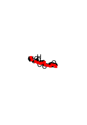 CC(C)(C)OC(=O)N1CCC(/C=C/C(=O)N2CCC[C@@H](C(=O)NCC(COCc3ccccc3)C(=O)O)C2)CC1